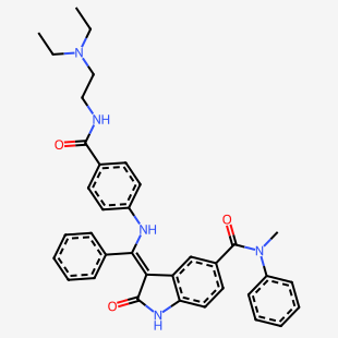 CCN(CC)CCNC(=O)c1ccc(NC(=C2C(=O)Nc3ccc(C(=O)N(C)c4ccccc4)cc32)c2ccccc2)cc1